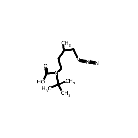 CC(CCN(C(=O)O)C(C)(C)C)CN=[N+]=[N-]